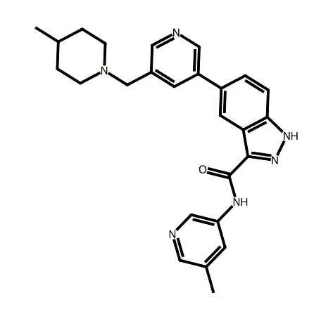 Cc1cncc(NC(=O)c2n[nH]c3ccc(-c4cncc(CN5CCC(C)CC5)c4)cc23)c1